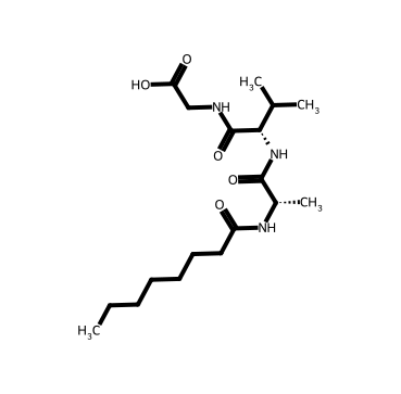 CCCCCCCC(=O)N[C@@H](C)C(=O)N[C@H](C(=O)NCC(=O)O)C(C)C